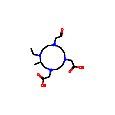 CCN1CCN(CC=O)CCN(CC(=O)O)CCN(CC(=O)O)CC1C